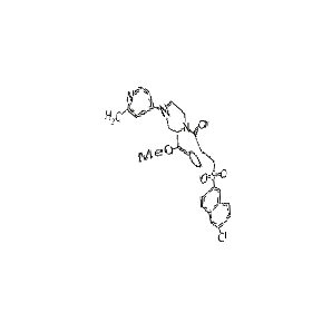 COC(=O)C1CN(c2ccnc(C)c2)CCN1C(=O)CCS(=O)(=O)c1ccc2cc(Cl)ccc2c1